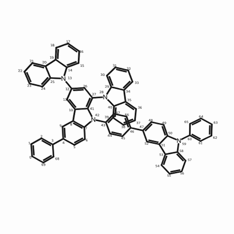 c1ccc(-c2ccc3c(c2)c2cc(-n4c5ccccc5c5ccccc54)cc(-n4c5ccccc5c5ccccc54)c2n3-c2ccc(-c3ccc4c(c3)c3ccccc3n4-c3ccccc3)cc2)cc1